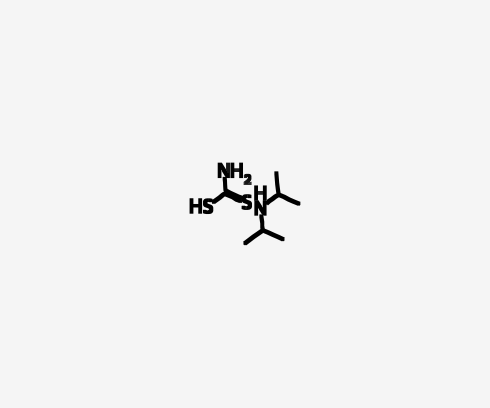 CC(C)NC(C)C.NC(=S)S